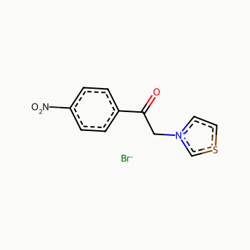 O=C(C[n+]1ccsc1)c1ccc([N+](=O)[O-])cc1.[Br-]